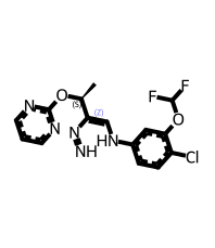 C[C@H](Oc1ncccn1)/C(=C/Nc1ccc(Cl)c(OC(F)F)c1)N=N